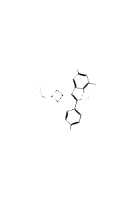 NC[C@H]1C[C@H](c2c(-c3ccc(F)cc3)[nH]c3c(F)cc(F)cc32)C1